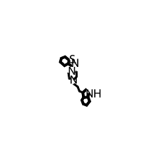 c1ccc2c(CCCN3CCN(c4nsc5ccccc45)CC3)c[nH]c2c1